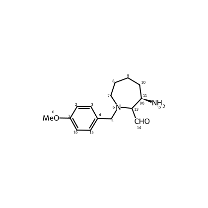 COc1ccc(CN2CCCC[C@@H](N)C2C=O)cc1